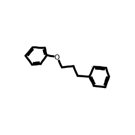 [c]1ccccc1CCCOc1ccccc1